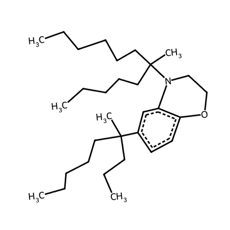 CCCCCCC(C)(CCCCC)N1CCOc2ccc(C(C)(CCC)CCCCC)cc21